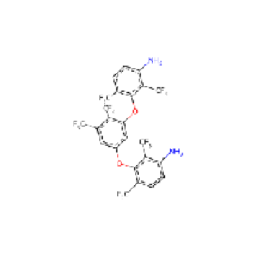 Nc1ccc(C(F)(F)F)c(Oc2cc(Oc3c(C(F)(F)F)ccc(N)c3C(F)(F)F)c(C(F)(F)F)c(C(F)(F)F)c2)c1C(F)(F)F